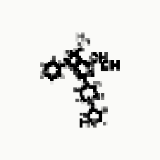 Cc1nn(-c2ccccc2)c2nc(C3CCN(C4CCNC4)CC3)nc(O)c12.Cl